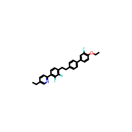 CCOc1ccc(-c2ccc(CCc3ccc(-c4ccc(CC)cn4)c(F)c3F)cc2)cc1F